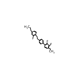 CCCc1ccc(CCc2ccc(-c3ccc(CC)c(F)c3F)cc2)c(F)c1